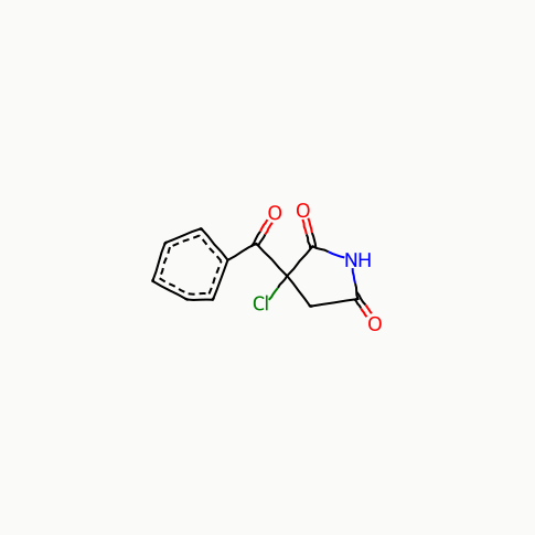 O=C1CC(Cl)(C(=O)c2ccccc2)C(=O)N1